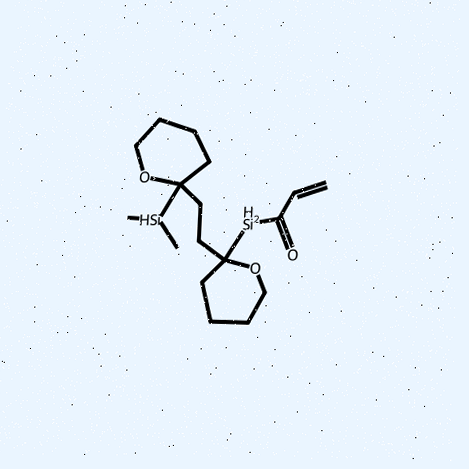 C=CC(=O)[SiH2]C1(CCC2([SiH](C)C)CCCCO2)CCCCO1